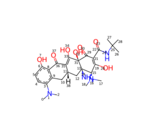 CN(C)c1ccc(O)c2c1C[C@H]1C[C@@]3(N)[C@H](N(C)C)C(O)=C(C(=O)NC(C)(C)C)C(=O)[C@@]3(O)C(O)=C1C2=O